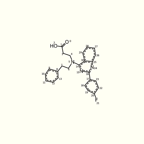 O=C(O)CCN(CCc1ccccc1)c1nc(-c2ccc(F)cc2)nc2ccccc12